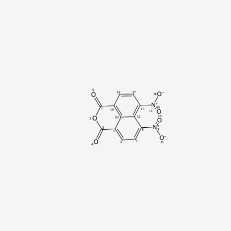 O=C1OC(=O)c2ccc([N+](=O)[O-])c3c([N+](=O)[O-])ccc1c23